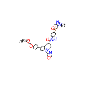 CCCCOCCOc1ccc(-c2ccc3c(c2)/C=C(/C(=O)Nc2ccc([S+]([O-])Cc4c(C)ncn4CC)cc2)CCCN3CC2COCCN2C)cc1